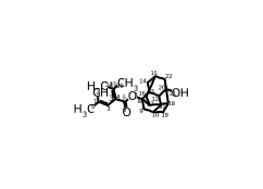 CC(C)=CC(C(=O)OC12CC3CC4C1CC1CC2C(C3)C4(O)C1)=C(C)C